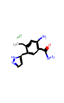 Cl.NC(=O)c1cc(-c2ccn[nH]2)c(C(F)(F)F)cc1N